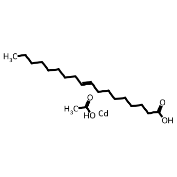 CC(=O)O.CCCCCCCCC=CCCCCCCCC(=O)O.[Cd]